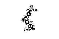 C[C@@H]1CC(=O)N(CO)N=C1c1ccc(OC(=O)N(c2ccc(C3=NN(CO)C(=O)C[C@H]3C)cc2)C(C)(C)C)cc1